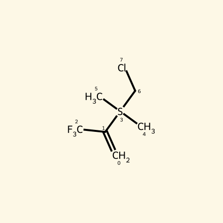 C=C(C(F)(F)F)S(C)(C)CCl